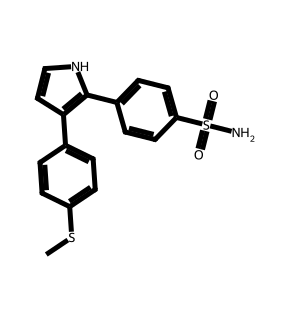 CSc1ccc(-c2cc[nH]c2-c2ccc(S(N)(=O)=O)cc2)cc1